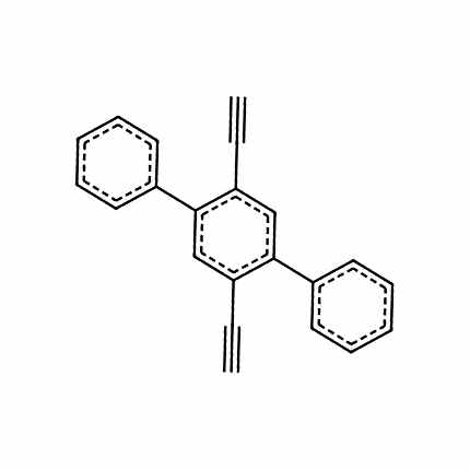 C#Cc1cc(-c2ccccc2)c(C#C)cc1-c1ccccc1